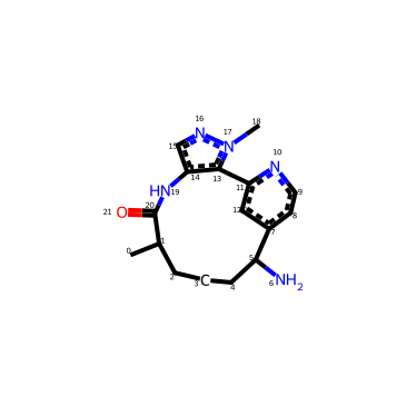 CC1CCCC(N)c2ccnc(c2)-c2c(cnn2C)NC1=O